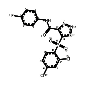 O=C(Nc1ccc(F)cc1)c1nnsc1S(=O)(=O)c1ccc(Cl)cc1Cl